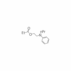 CCCN(CCOC(=O)CC)c1ccccc1